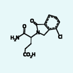 NC(=O)C(CCC(=O)O)N1Cc2c(Cl)cccc2C1=O